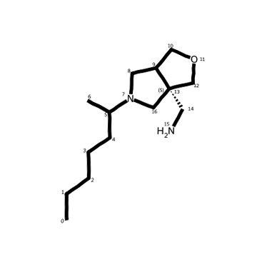 CCCCCC(C)N1CC2COC[C@@]2(CN)C1